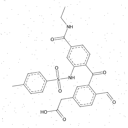 CCNC(=O)c1ccc(C(=O)c2cc(CC(=O)O)ccc2C=O)c(NS(=O)(=O)c2ccc(C)cc2)c1